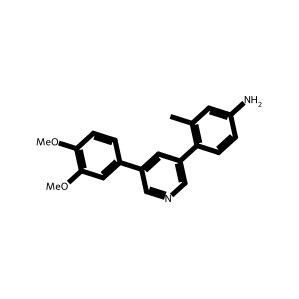 COc1ccc(-c2cncc(-c3ccc(N)cc3C)c2)cc1OC